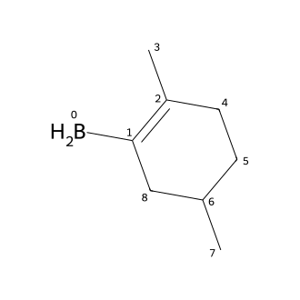 BC1=C(C)CCC(C)C1